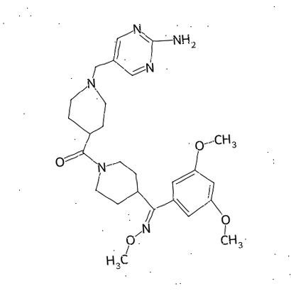 CON=C(c1cc(OC)cc(OC)c1)C1CCN(C(=O)C2CCN(Cc3cnc(N)nc3)CC2)CC1